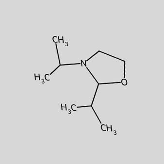 CC(C)C1OCCN1C(C)C